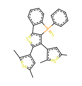 Cc1cc(-c2sc3c(c2-c2cc(C)sc2C)P(=S)(c2ccccc2)c2ccccc2-3)c(C)s1